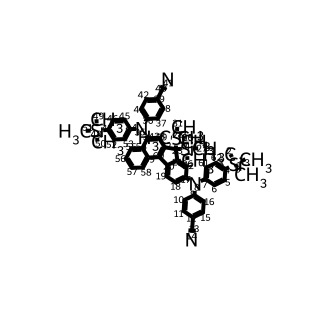 C[Si](C)(C)c1ccc(N(c2ccc(C#N)cc2)c2ccc3c(c2)C([Si](C)(C)C)([Si](C)(C)C)c2cc(N(c4ccc(C#N)cc4)c4ccc([Si](C)(C)C)cc4)c4ccccc4c2-3)cc1